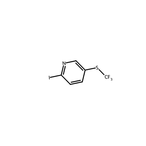 FC(F)(F)Sc1ccc(I)nc1